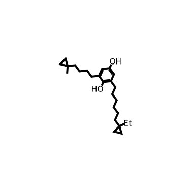 CCC1(CCCCCCc2cc(O)cc(CCCCC3(C)CC3)c2O)CC1